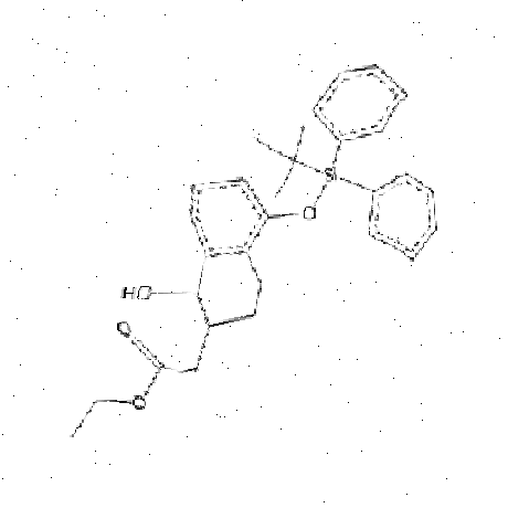 CCOC(=O)CC1CCc2c(O[Si](c3ccccc3)(c3ccccc3)C(C)(C)C)cccc2C1O